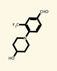 O=[C]c1ccc(N2CCC(O)CC2)c(C(F)(F)F)c1